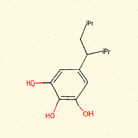 CC(C)CC(c1cc(O)c(O)c(O)c1)C(C)C